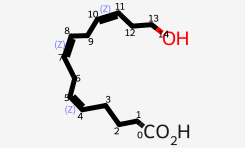 O=C(O)CCC/C=C\C/C=C\C/C=C\CCO